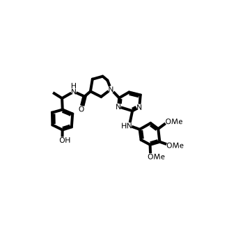 COc1cc(Nc2nccc(N3CCCC(C(=O)NC(C)c4ccc(O)cc4)C3)n2)cc(OC)c1OC